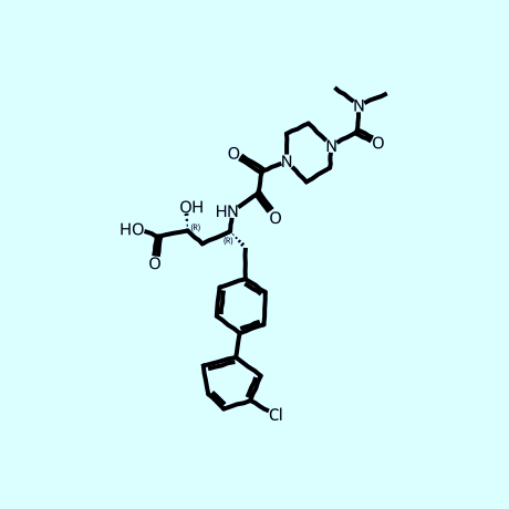 CN(C)C(=O)N1CCN(C(=O)C(=O)N[C@H](Cc2ccc(-c3cccc(Cl)c3)cc2)C[C@@H](O)C(=O)O)CC1